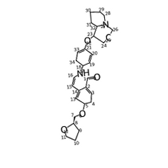 O=CC1=CCC(OC[C@H]2CCCO2)C=C1/C=C\NC1C=CC(OC2CCCN3CCCCC23)=CC1